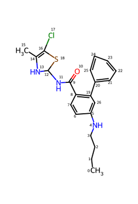 CCCCNc1ccc(C(=O)NC2NC(C)=C(Cl)S2)c(-c2ccccc2)c1